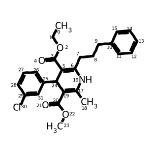 CCOC(=O)C1=C(CCCc2ccccc2)NC(C)=C(C(=O)OC)C1c1cccc(Cl)c1